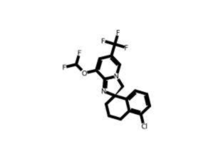 FC(F)OC1=CC(C(F)(F)F)=CN2C[C@@]3(CCCc4c(Cl)cccc43)N=C12